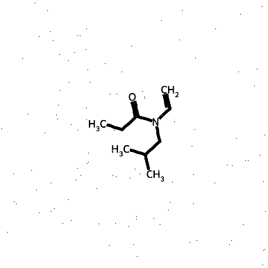 C=CN(CC(C)C)C(=O)CC